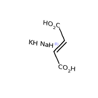 O=C(O)/C=C/C(=O)O.[KH].[NaH]